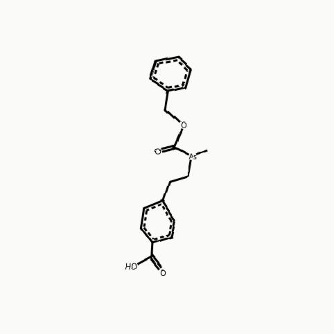 C[As](CCc1ccc(C(=O)O)cc1)C(=O)OCc1ccccc1